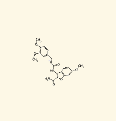 COc1ccc2c(NC(=O)/C=C/c3ccc(OC)c(OC)c3)c(C(N)=O)oc2c1